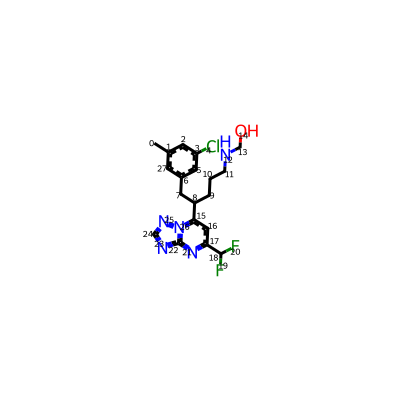 Cc1cc(Cl)cc(CC(CCCNCO)c2cc(C(F)F)nc3ncnn23)c1